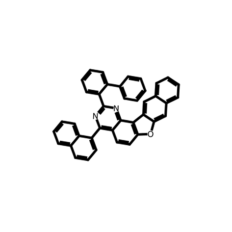 c1ccc(-c2ccccc2-c2nc(-c3cccc4ccccc34)c3ccc4oc5cc6ccccc6cc5c4c3n2)cc1